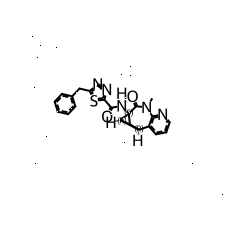 CN1C(=O)[C@]2(NC(=O)c3nnc(Cc4ccccc4)s3)C3[C@@H](c4cccnc41)[C@H]32